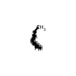 CCCCCC1CCC(c2ccc(C3CCC(C(F)(F)Oc4ccc(-c5cc(F)c(/C=C/C(F)(F)F)c(F)c5)c(F)c4)CC3)c(F)c2)CC1